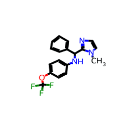 Cn1ccnc1C(Nc1ccc(OC(F)(F)F)cc1)c1ccccc1